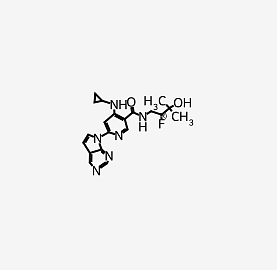 CC(C)(O)[C@H](F)CNC(=O)c1cnc(-n2ccc3cncnc32)cc1NC1CC1